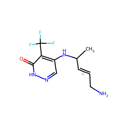 CC(/C=C/CN)Nc1cn[nH]c(=O)c1C(F)(F)F